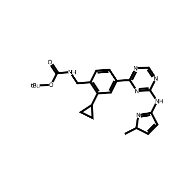 CC1C=CC(Nc2ncnc(-c3ccc(CNC(=O)OC(C)(C)C)c(C4CC4)c3)n2)=N1